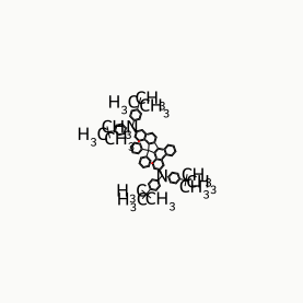 CC(C)(C)c1ccc(N(c2ccc(C(C)(C)C)cc2)c2ccc3c4c(ccc3c2)-c2c(c3ccc(N(c5ccc(C(C)(C)C)cc5)c5ccc(C(C)(C)C)cc5)cc3c3ccccc23)C4(c2ccccc2)c2ccccc2)cc1